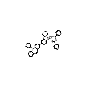 C1=Cc2cc(-c3ccc4c(c3)c3ccccc3n4C3N=C(c4ccccc4)N=C(c4ccccc4)N3)ccc2N(c2ccccc2)c2ccccc21